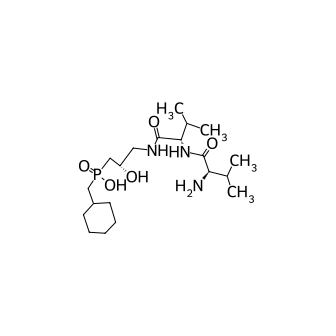 CC(C)[C@H](NC(=O)[C@H](N)C(C)C)C(=O)NC[C@H](O)CP(=O)(O)CC1CCCCC1